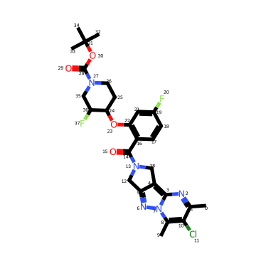 Cc1nc2c3c(nn2c(C)c1Cl)CN(C(=O)c1ccc(F)cc1OC1CCN(C(=O)OC(C)(C)C)CC1F)C3